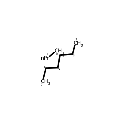 CCCC.CCCCCC